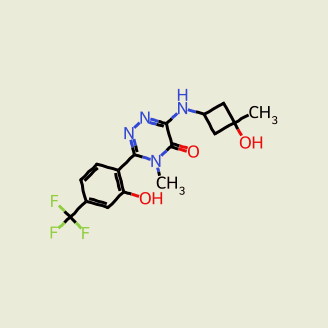 Cn1c(-c2ccc(C(F)(F)F)cc2O)nnc(NC2CC(C)(O)C2)c1=O